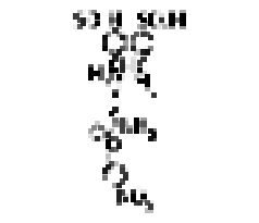 Cc1ccc(S(=O)(=O)O)cc1.Cc1ccc(S(=O)(=O)O)cc1.NCCCC[C@H](N)C(=O)OCc1ccc([N+](=O)[O-])cc1